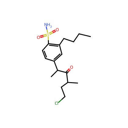 CCCCc1cc(C(C)C(=O)C(C)CCCl)ccc1S(N)(=O)=O